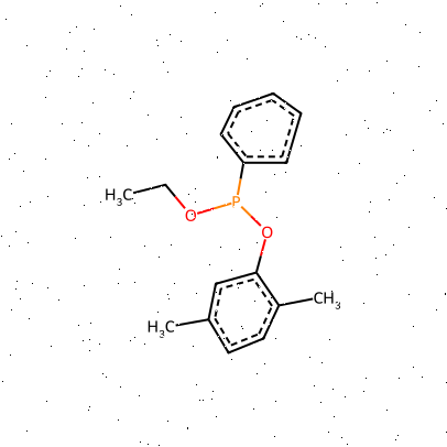 CCOP(Oc1cc(C)ccc1C)c1ccccc1